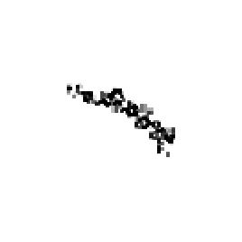 CC1(NC(=O)O[C@H]2CO[C@@H](c3cc(Nc4nccc5nc(CN6CC(C(F)(F)F)C6)cn45)n[nH]3)[C@@H]2F)CC1